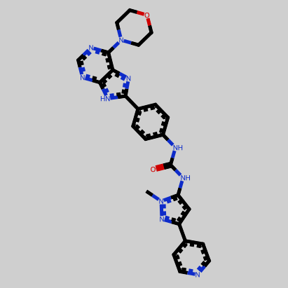 Cn1nc(-c2ccncc2)cc1NC(=O)Nc1ccc(-c2nc3c(N4CCOCC4)ncnc3[nH]2)cc1